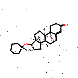 COC1(OC2CC[C@H]3[C@@H]4CCC5=CC(=O)CC[C@]5(CO)[C@@H]4CC[C@]23C)CCCCC1